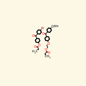 C=CC(=O)OCCOc1ccc(C(=O)c2ccc(OC)cc2)cc1.C=CC(=O)Oc1ccc(C(=O)c2ccc(Br)cc2)cc1